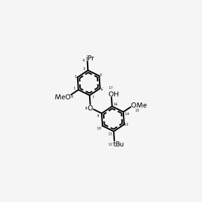 COc1cc(C(C)C)ccc1Oc1cc(C(C)(C)C)cc(OC)c1O